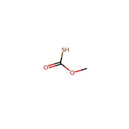 COC(=O)S